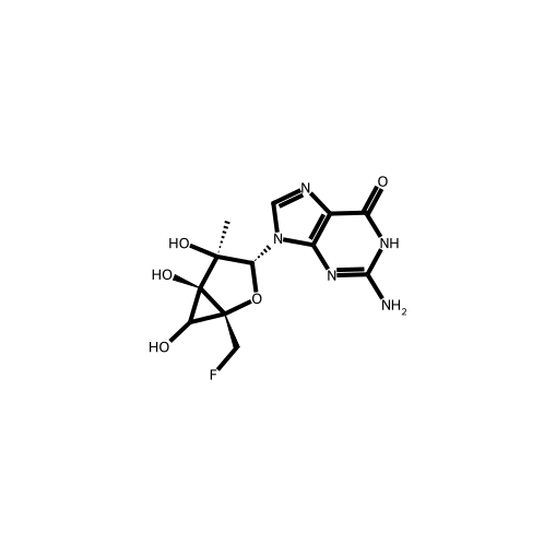 C[C@]1(O)[C@H](n2cnc3c(=O)[nH]c(N)nc32)O[C@]2(CF)C(O)[C@]12O